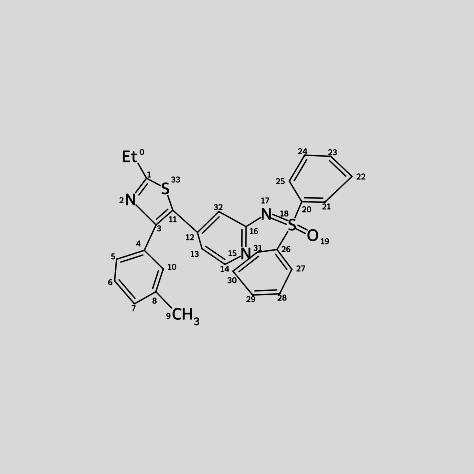 CCc1nc(-c2cccc(C)c2)c(-c2ccnc(N=S(=O)(c3ccccc3)c3ccccc3)c2)s1